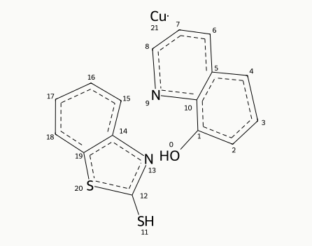 Oc1cccc2cccnc12.Sc1nc2ccccc2s1.[Cu]